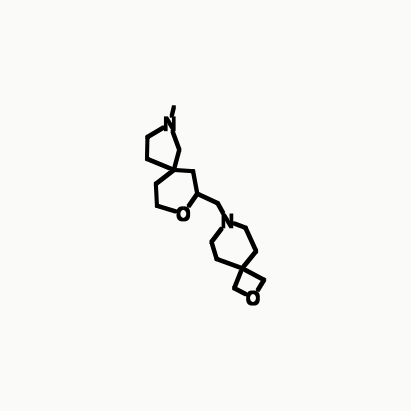 CN1CCC2(CCOC(CN3CCC4(CC3)COC4)C2)C1